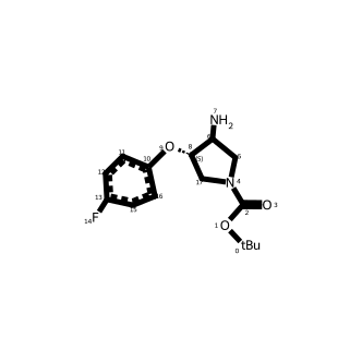 CC(C)(C)OC(=O)N1CC(N)[C@@H](Oc2ccc(F)cc2)C1